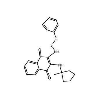 CC1(NC2=C(NSOc3ccccc3)C(=O)c3ccccc3C2=O)CCCC1